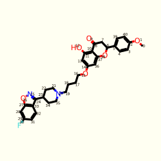 COc1ccc(C2CC(=O)c3c(O)cc(OCCCCN4CCC(c5noc6cc(F)ccc56)CC4)cc3O2)cc1